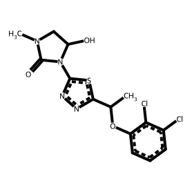 CC(Oc1cccc(Cl)c1Cl)c1nnc(N2C(=O)N(C)CC2O)s1